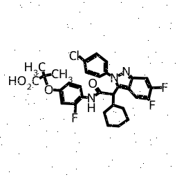 CC(C)(Oc1ccc(NC(=O)C(c2c3cc(F)c(F)cc3nn2-c2ccc(Cl)cc2)C2CCCCC2)c(F)c1)C(=O)O